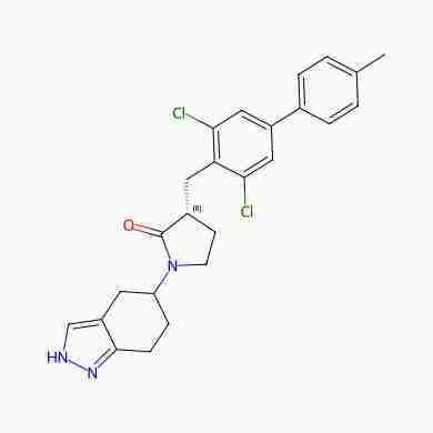 Cc1ccc(-c2cc(Cl)c(C[C@@H]3CCN(C4CCc5n[nH]cc5C4)C3=O)c(Cl)c2)cc1